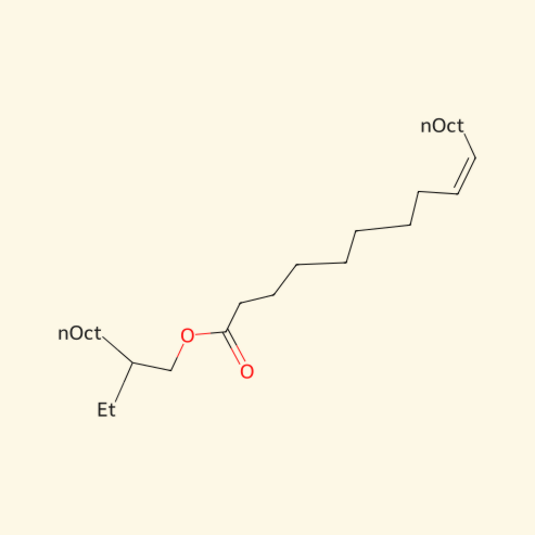 CCCCCCCC/C=C\CCCCCCCC(=O)OCC(CC)CCCCCCCC